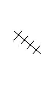 FC(F)(F)C(F)(F)C(F)(Cl)C(F)(F)I